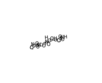 CNS(=O)(=O)c1cccc(OCC(O)COC(=O)N[C@H]2COC3(CCN(S(=O)(=O)c4cnc5ccccc5c4)CC3)C2)c1